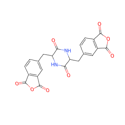 O=C1OC(=O)c2cc(CC3NC(=O)C(Cc4ccc5c(c4)C(=O)OC5=O)NC3=O)ccc21